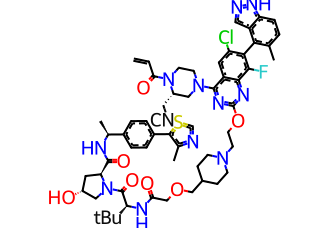 C=CC(=O)N1CCN(c2nc(OCCN3CCC(COCC(=O)N[C@H](C(=O)N4C[C@H](O)C[C@H]4C(=O)N[C@@H](C)c4ccc(-c5scnc5C)cc4)C(C)(C)C)CC3)nc3c(F)c(-c4c(C)ccc5[nH]ncc45)c(Cl)cc23)C[C@@H]1CC#N